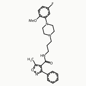 COc1ccc(F)cc1N1CCN(CCCNC(=O)c2c(-c3ccccc3)noc2C)CC1